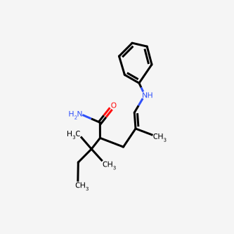 CCC(C)(C)C(C/C(C)=C/Nc1ccccc1)C(N)=O